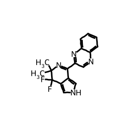 CC1(C)N=C(c2cnc3ccccc3n2)c2c[nH]cc2C1(F)F